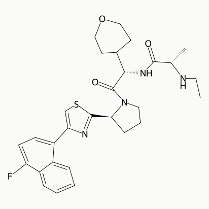 CCN[C@@H](C)C(=O)N[C@H](C(=O)N1CCC[C@H]1c1nc(-c2ccc(F)c3ccccc23)cs1)C1CCOCC1